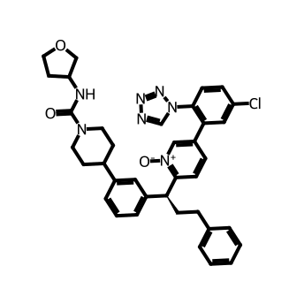 O=C(NC1CCOC1)N1CCC(c2cccc([C@H](CCc3ccccc3)c3ccc(-c4cc(Cl)ccc4-n4cnnn4)c[n+]3[O-])c2)CC1